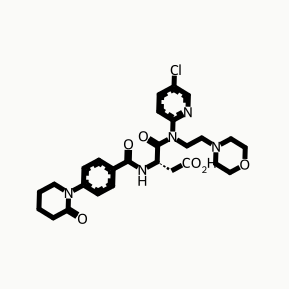 O=C(O)C[C@H](NC(=O)c1ccc(N2CCCCC2=O)cc1)C(=O)N(CCN1CCOCC1)c1ccc(Cl)cn1